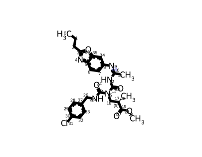 CCCc1nc2ccc(/N=C(/C)NC(=O)N(C[C@H](C)C(=O)OC)C(=O)NCc3ccc(Cl)cc3)cc2o1